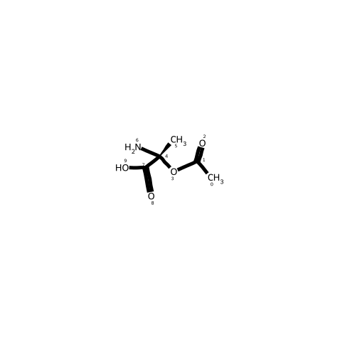 CC(=O)O[C@@](C)(N)C(=O)O